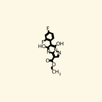 CCOC(=O)c1cnn2c(O)c(-c3ccc(F)cc3F)c(O)nc12